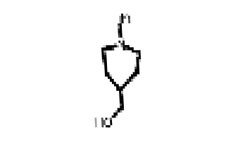 CC(C)N1CCC(CO)CC1